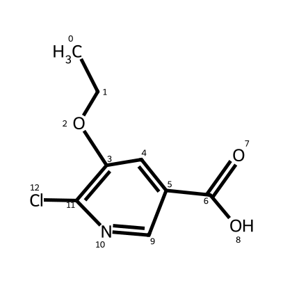 CCOc1cc(C(=O)O)cnc1Cl